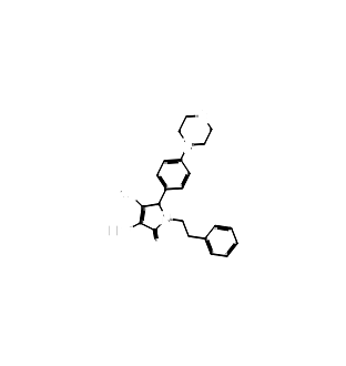 CC(=O)C1=C(O)C(=O)N(CCc2ccccc2)C1c1ccc(N2CCOCC2)cc1